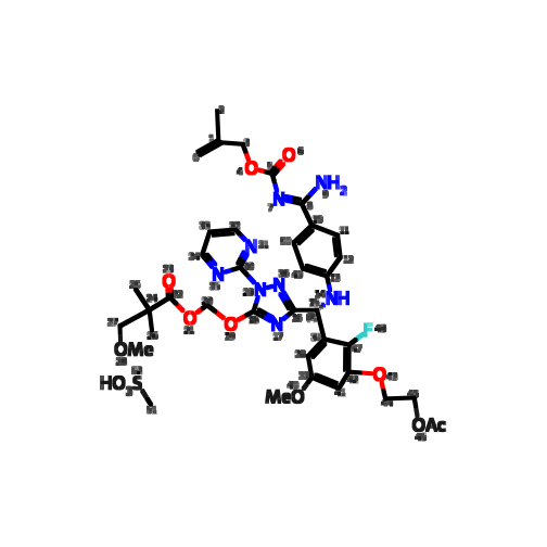 C=C(C)COC(=O)N=C(N)c1ccc(N[C@@H](c2nc(OCOC(=O)C(C)(C)COC)n(-c3ncccn3)n2)c2cc(OC)cc(OCCOC(C)=O)c2F)cc1.CS(=O)(=O)O